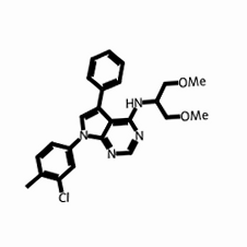 COCC(COC)Nc1ncnc2c1c(-c1ccccc1)cn2-c1ccc(C)c(Cl)c1